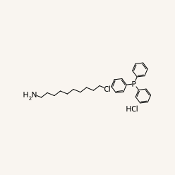 Cl.NCCCCCCCCCCCl.c1ccc(P(c2ccccc2)c2ccccc2)cc1